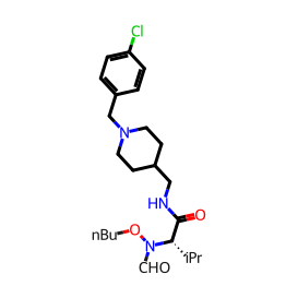 CCCCON(C=O)[C@H](C(=O)NCC1CCN(Cc2ccc(Cl)cc2)CC1)C(C)C